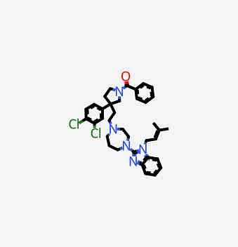 CC(C)=CCn1c(N2CCCN(CCC3(c4ccc(Cl)c(Cl)c4)CCN(C(=O)c4ccccc4)C3)CC2)nc2ccccc21